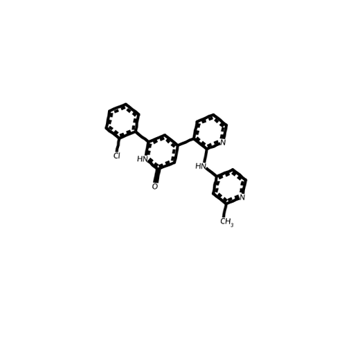 Cc1cc(Nc2ncccc2-c2cc(-c3ccccc3Cl)[nH]c(=O)c2)ccn1